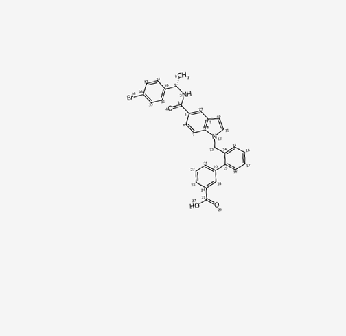 C[C@H](NC(=O)c1ccc2c(ccn2Cc2ccccc2-c2cccc(C(=O)O)c2)c1)c1ccc(Br)cc1